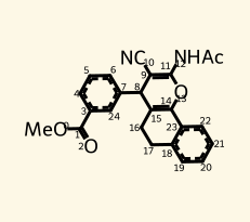 COC(=O)c1cccc(C2C(C#N)=C(NC(C)=O)OC3=C2CCc2ccccc23)c1